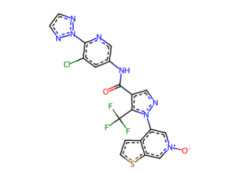 O=C(Nc1cnc(-n2nccn2)c(Cl)c1)c1cnn(-c2c[n+]([O-])cc3sccc23)c1C(F)(F)F